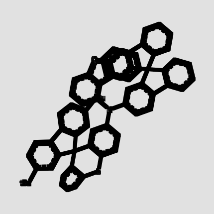 CC(C)(C)c1ccc2c(c1)C1(c3ccccc3Sc3ccc(N(c4ccc5c(c4)C4(c6ccccc6-c6ccccc64)c4ccccc4-5)c4cccc5oc6ccccc6c45)cc31)c1cc(C(C)(C)C)ccc1-2